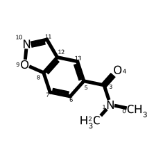 CN(C)C(=O)c1ccc2oncc2c1